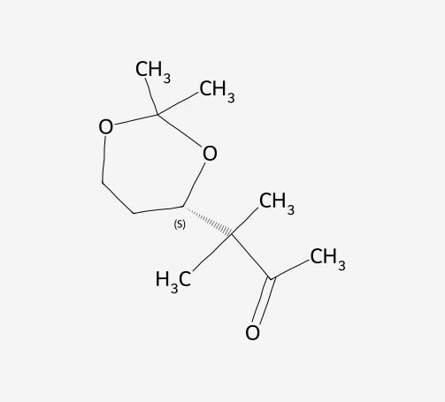 CC(=O)C(C)(C)[C@@H]1CCOC(C)(C)O1